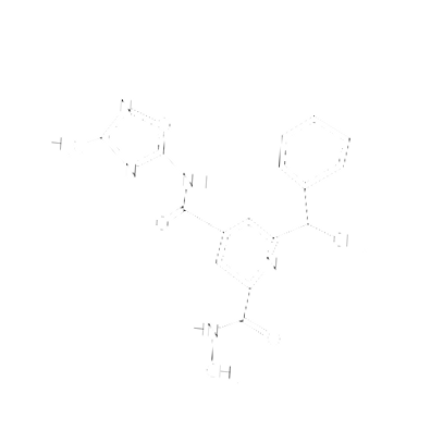 CNC(=O)c1cc(C(=O)Nc2nc(C)no2)cc(C(C)c2ccccc2)n1